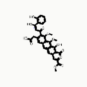 COC(=O)c1cc2cc3cc4cc(CC(=O)O)c(C(=O)/C=C(/O)c5ccccc5O)c(OC)c4c(OC)c3c(O)c2c(=O)o1